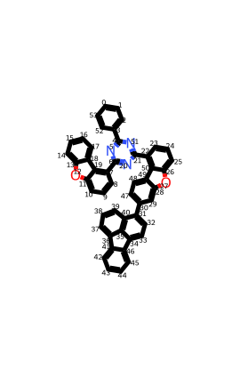 c1ccc(-c2nc(-c3cccc4oc5ccccc5c34)nc(-c3cccc4oc5cc(-c6ccc7c8c(cccc68)-c6ccccc6-7)ccc5c34)n2)cc1